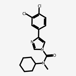 CN(C(=O)n1cnc(-c2ccc(Cl)c(Cl)c2)c1)C1CCCCC1